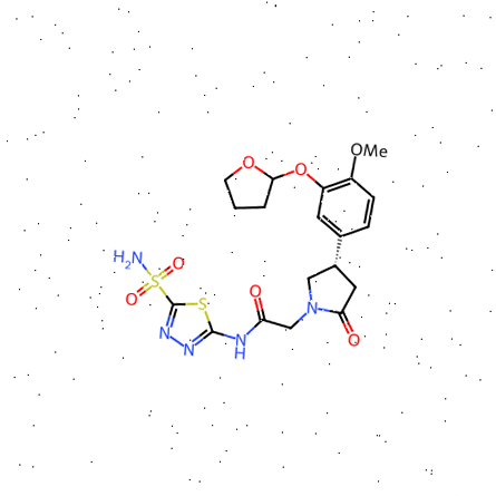 COc1ccc([C@@H]2CC(=O)N(CC(=O)Nc3nnc(S(N)(=O)=O)s3)C2)cc1OC1CCCO1